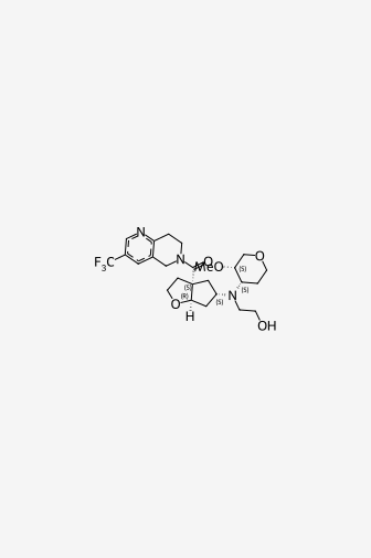 CO[C@@H]1COCC[C@@H]1N(CCO)[C@@H]1C[C@H]2OCC[C@@]2(C(=O)N2CCc3ncc(C(F)(F)F)cc3C2)C1